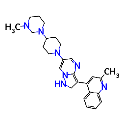 Cc1cc(C2=C3N=CC(N4CCC(N5CCCN(C)C5)CC4)=CN3NC2)c2ccccc2n1